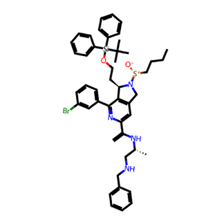 C=C(N[C@H](C)CNCc1ccccc1)c1cc2c(c(-c3cccc(Br)c3)n1)[C@@H](CCO[Si](c1ccccc1)(c1ccccc1)C(C)(C)C)N([S@+]([O-])CCCC)C2